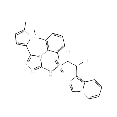 COc1cccc(OC)c1-n1c(NS(=O)(=O)[C@H](C)[C@@H](O)c2ncn3ccccc23)nnc1-c1ccc(C)o1